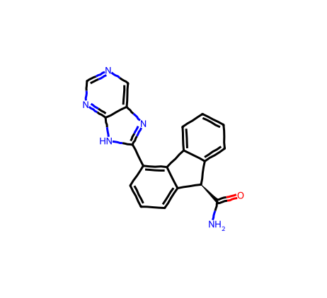 NC(=O)[C@@H]1c2ccccc2-c2c(-c3nc4cncnc4[nH]3)cccc21